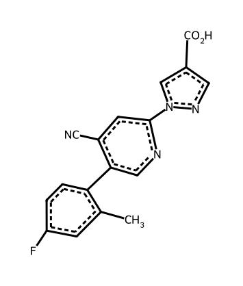 Cc1cc(F)ccc1-c1cnc(-n2cc(C(=O)O)cn2)cc1C#N